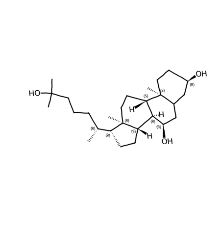 C[C@H](CCCC(C)(C)O)[C@H]1CC[C@H]2[C@@H]3[C@H](O)CC4C[C@H](O)CC[C@]4(C)[C@H]3CC[C@]12C